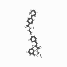 CCOC(=O)C(Cc1ccc(OCCNC(=O)c2ccc(-c3ccccn3)cc2)cc1)Oc1cccc(F)c1